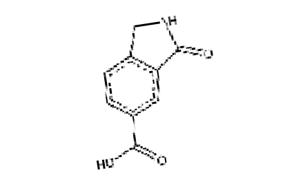 O=C(O)c1ccc2c(c1)C(=O)NC2